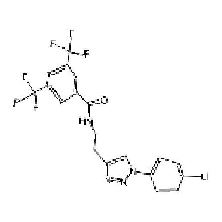 O=C(NCCc1cn(-c2ccc(Cl)cc2)nn1)c1cc(C(F)(F)F)cc(C(F)(F)F)c1